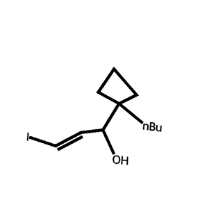 CCCCC1(C(O)/C=C/I)CCC1